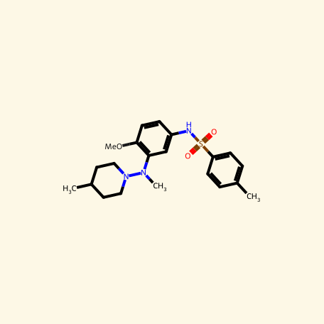 COc1ccc(NS(=O)(=O)c2ccc(C)cc2)cc1N(C)N1CCC(C)CC1